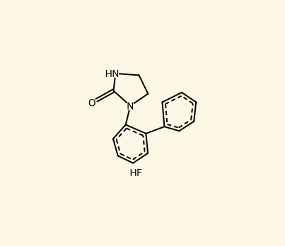 F.O=C1NCCN1c1ccccc1-c1ccccc1